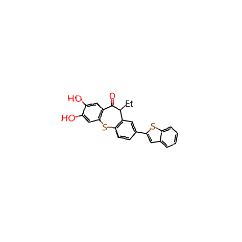 CCC1C(=O)c2cc(O)c(O)cc2Sc2ccc(-c3cc4ccccc4s3)cc21